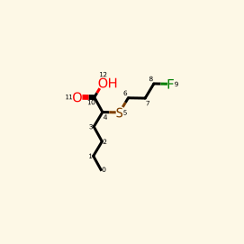 CCCCC(SCCCF)C(=O)O